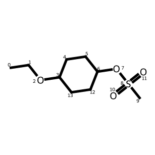 CCOC1CCC(OS(C)(=O)=O)CC1